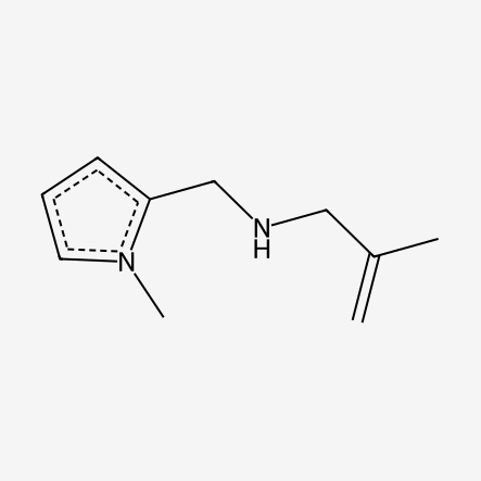 C=C(C)CNCc1cccn1C